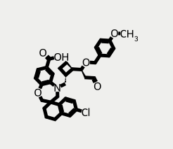 COc1ccc(CO[C@@H](CC=O)[C@@H]2CC[C@H]2CN2CC3(CCCc4cc(Cl)ccc43)COc3ccc(C(=O)O)cc32)cc1